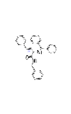 O=C(NCc1ccccc1)C(/C=C/c1ccccc1)NC(c1ccccc1)c1ccccc1